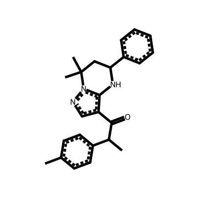 Cc1ccc(C(C)C(=O)c2cnn3c2NC(c2ccccc2)CC3(C)C)cc1